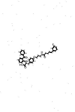 O=C(CCC=Cc1cccc(F)c1)NCCCOc1ccc(C[C@H](Nc2ccccc2C(=O)c2ccccc2)C(=O)O)cc1